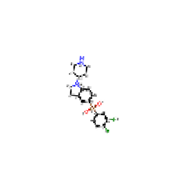 O=S(=O)(c1ccc(F)c(F)c1)c1ccc2c(c1)CCN2C1CCNCC1